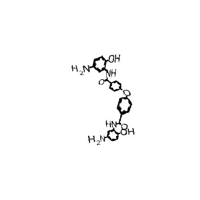 Nc1ccc(O)c(NC(=O)c2ccc(Oc3ccc(C(=O)Nc4cc(N)ccc4O)cc3)cc2)c1